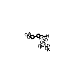 Cn1c(=O)oc2ccc(-c3ccc(C[C@@H](C#N)NC(=O)[C@@H]4CN(C(=O)OC(C)(C)C)CC(F)(F)CO4)cc3)cc21